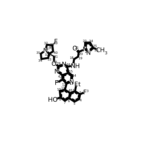 CCc1c(F)ccc2cc(O)cc(-c3ncc4c(NCCC(=O)n5ccc(C)n5)nc(OC[C@@]56CCCN5C[C@H](F)C6)nc4c3F)c12